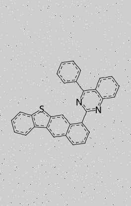 c1ccc(-c2nc(-c3cccc4cc5c(cc34)sc3ccccc35)nc3ccccc23)cc1